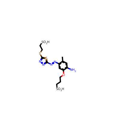 Cc1cc(N)c(OCCCS(=O)(=O)O)cc1N=Nc1nnc(SCCS(=O)(=O)O)s1